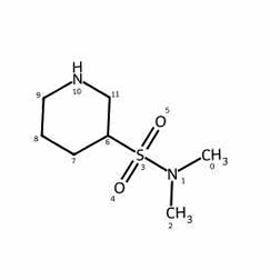 CN(C)S(=O)(=O)C1CCCNC1